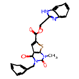 Cn1c(=O)n(Cc2ccccc2)c(=O)c2cc(C(=O)OCc3nc4ccccc4[nH]3)sc21